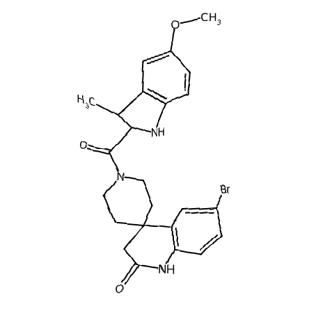 COc1ccc2c(c1)C(C)C(C(=O)N1CCC3(CC1)CC(=O)Nc1ccc(Br)cc13)N2